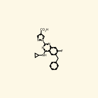 O=C(O)c1cnn(-c2nc(NC3CC3)c3cc(Cc4ccccc4)c(F)cc3n2)c1